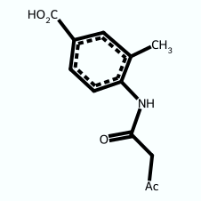 CC(=O)CC(=O)Nc1ccc(C(=O)O)cc1C